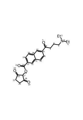 CCN(CC)CCCC(=O)c1ccc2cc(C(=O)OC3C(=O)CCC3=O)ccc2c1